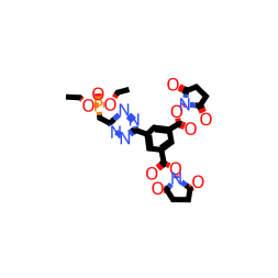 CCOP(=O)(Cc1nnc(-c2cc(C(=O)ON3C(=O)CCC3=O)cc(C(=O)ON3C(=O)CCC3=O)c2)nn1)OCC